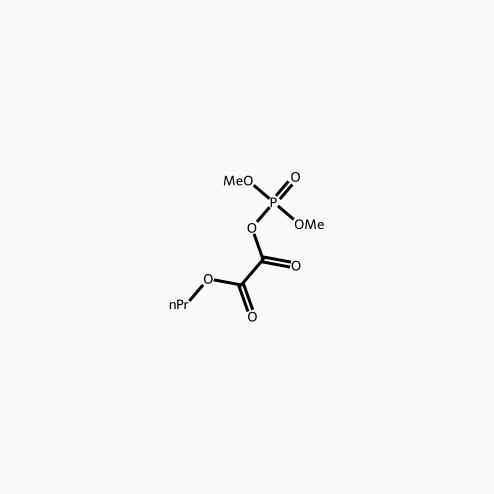 CCCOC(=O)C(=O)OP(=O)(OC)OC